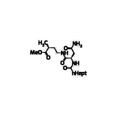 CCCCCCCC(=O)N[C@H](CC(N)=O)C(=O)NCC[C@H](C)C(=O)OC